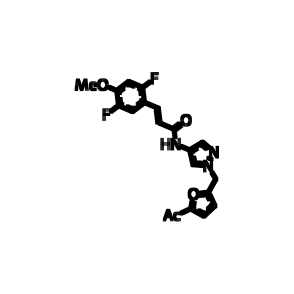 COc1cc(F)c(/C=C/C(=O)Nc2cnn(Cc3ccc(C(C)=O)o3)c2)cc1F